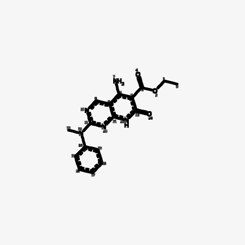 CCOC(=O)c1c(N)c2cnc(N(C)c3ccccc3)nc2[nH]c1=O